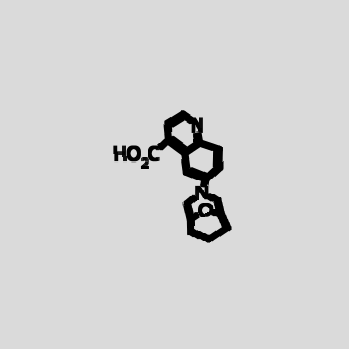 O=C(O)c1ccnc2ccc(N3CC4CCCC(C3)O4)cc12